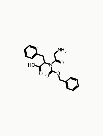 NCC(=O)N(C(=O)OCc1ccccc1)C(Cc1[c]cccc1)C(=O)O